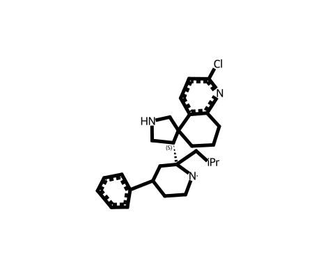 CC(C)CC1([C@@H]2CNCC23CCCc2nc(Cl)ccc23)CC(c2ccccc2)CC[N]1